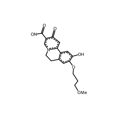 COCCCOc1cc2c(cc1O)-c1cc(=O)c(C(=O)N=O)cn1CC2